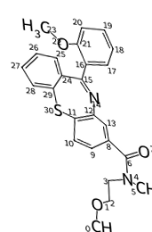 COCCN(C)C(=O)c1ccc2c(c1)N=C(c1ccccc1OC)c1ccccc1S2